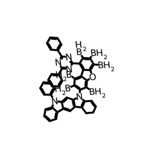 Bc1c(B)c(-c2nc(-c3ccccc3)nc(-c3ccccc3)n2)c2c(oc3c(B)c(-n4c5c(c6cc7c8ccccc8n(-c8ccccc8)c7cc64)CCC=C5)c(B)c(B)c32)c1B